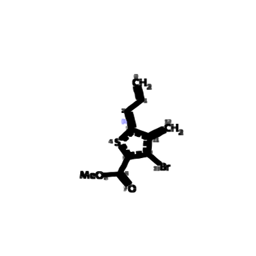 C=C/C=c1/sc(C(=O)OC)c(Br)c1=C